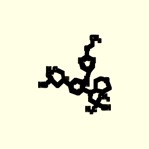 CCOc1ncc(Nc2cc([C@H](CC)CC(=O)O)ccc2N(CC(C)(C)O)C2CCOCC2)cn1